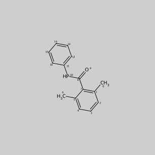 Cc1cccc(C)c1C(=O)Pc1ccccc1